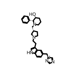 O[C@@H]1CCCN(C[C@@H]2CCN(CCc3c[nH]c4ccc(Cn5cncn5)cc34)C2)[C@@H]1c1ccccc1